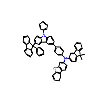 CC1(C)c2ccccc2-c2cc(N(c3ccc(-c4ccc5c(c4)c4cc(C6(c7ccccc7)c7ccccc7-c7ccccc76)ccc4n5-c4ccccc4)cc3)c3ccc4c5c(oc4c3)C=CCC5)ccc21